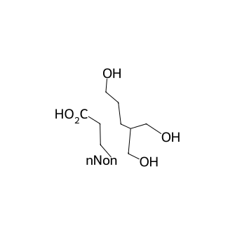 CCCCCCCCCCCC(=O)O.OCCCC(CO)CO